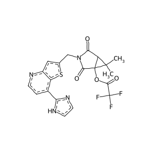 CC1(C)C2C(=O)N(Cc3cc4nccc(-c5ncc[nH]5)c4s3)C(=O)C21OC(=O)C(F)(F)F